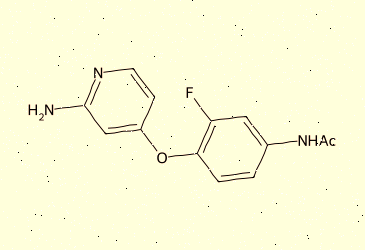 CC(=O)Nc1ccc(Oc2ccnc(N)c2)c(F)c1